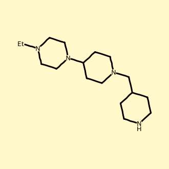 CCN1CCN(C2CCN(CC3CCNCC3)CC2)CC1